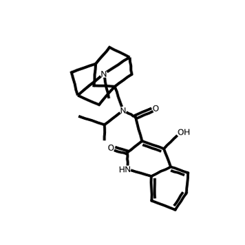 CC(C)N(C(=O)c1c(O)c2ccccc2[nH]c1=O)C12CC3CC(C1)N(C)C(C3)C2